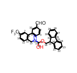 O=Cc1cccc(-c2cc(C(F)(F)F)ccc2CNC(O)OCC2c3ccccc3-c3ccccc32)c1